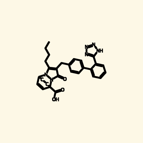 CCCCc1c(Cc2ccc(-c3ccccc3-c3nnn[nH]3)cc2)c(=O)n2n1C1C=CC2(C(=O)O)CC1